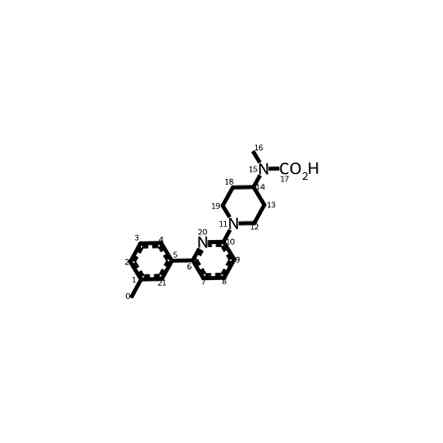 Cc1cccc(-c2cccc(N3CCC(N(C)C(=O)O)CC3)n2)c1